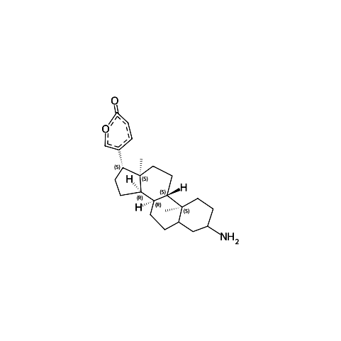 C[C@]12CC[C@H]3[C@@H](CCC4CC(N)CC[C@@]43C)[C@H]1CC[C@@H]2c1ccc(=O)oc1